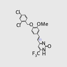 COc1cc(/C=C/c2cc(C(F)(F)F)[nH]c(=O)n2)ccc1OCc1ccc(Cl)cc1Cl